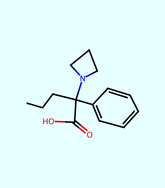 CCCC(C(=O)O)(c1ccccc1)N1CCC1